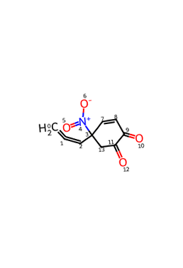 C=C=CC1([N+](=O)[O-])C=CC(=O)C(=O)C1